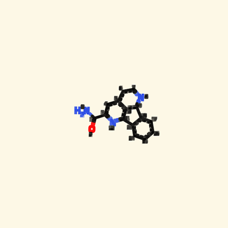 NC(=O)c1cc2ccnc3c2c(n1)-c1ccccc1-3